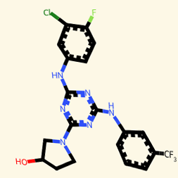 OC1CCN(c2nc(Nc3cccc(C(F)(F)F)c3)nc(Nc3ccc(F)c(Cl)c3)n2)C1